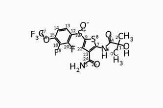 CC(C)(O)C(=O)Nc1sc([S+]([O-])c2ccc(OC(F)(F)F)c(F)c2F)cc1C(N)=O